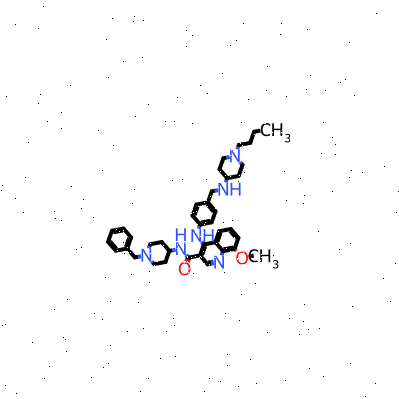 CCCCN1CCC(NCc2ccc(Nc3c(C(=O)NC4CCN(Cc5ccccc5)CC4)cnc4c(OC)cccc34)cc2)CC1